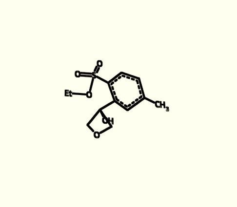 CCOS(=O)(=O)c1ccc(C)cc1C1(O)COC1